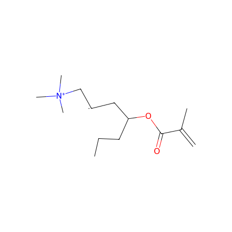 C=C(C)C(=O)OC(C[CH]C[N+](C)(C)C)CCC